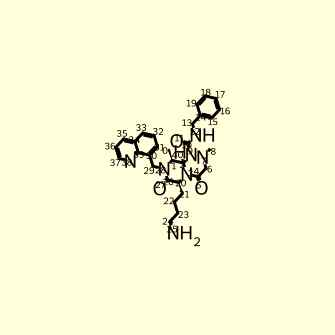 C[C@H]1[C@H]2N(C(=O)CN(C)N2C(=O)NCc2ccccc2)[C@@H](CCCCN)C(=O)N1Cc1cccc2cccnc12